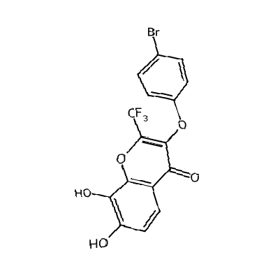 O=c1c(Oc2ccc(Br)cc2)c(C(F)(F)F)oc2c(O)c(O)ccc12